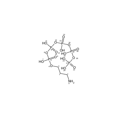 NCCCOP(=O)(O)OP(=O)(O)OP(=O)(O)OP(=O)(O)OP(=O)(O)O